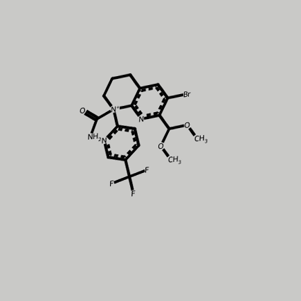 COC(OC)c1nc2c(cc1Br)CCC[N+]2(C(N)=O)c1ccc(C(F)(F)F)cn1